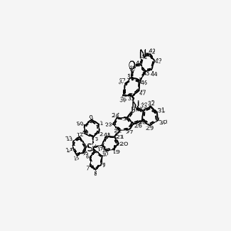 c1ccc([Si](c2ccccc2)(c2ccccc2)c2cccc(-c3ccc4c(c3)c3ccccc3n4-c3ccc4oc5ncccc5c4c3)c2)cc1